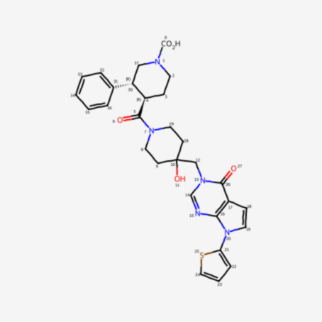 O=C(O)N1CC[C@@H](C(=O)N2CCC(O)(Cn3cnc4c(ccn4-c4cccs4)c3=O)CC2)[C@H](c2ccccc2)C1